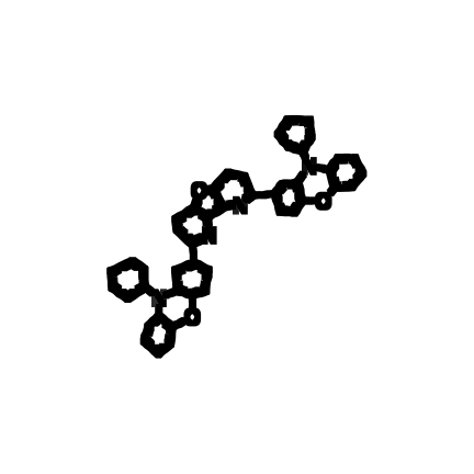 c1ccc(N2c3ccccc3Oc3ccc(-c4ccc5oc6ccc(-c7ccc8c(c7)N(c7ccccc7)c7ccccc7O8)nc6c5n4)cc32)cc1